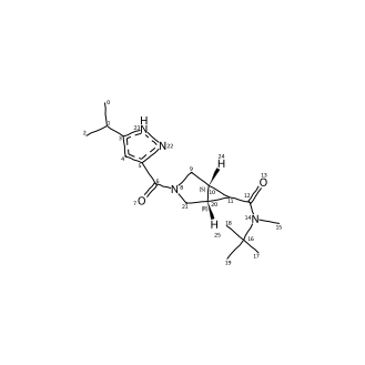 CC(C)c1cc(C(=O)N2C[C@@H]3C(C(=O)N(C)C(C)(C)C)[C@@H]3C2)n[nH]1